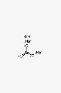 O=[Se]([O-])[O-].[KH].[Na+].[Na+]